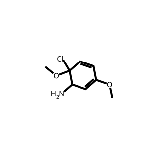 COC1=CC(N)C(Cl)(OC)C=C1